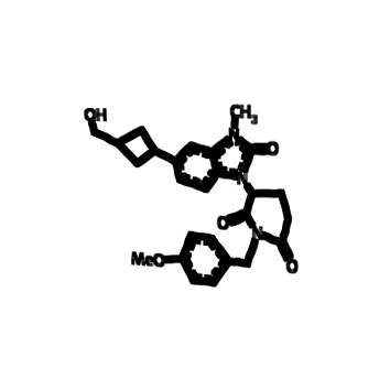 COc1ccc(CN2C(=O)CCC(n3c(=O)n(C)c4cc(C5CC(CO)C5)ccc43)C2=O)cc1